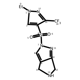 CCn1cc(S(=O)(=O)n2cc3c(n2)CNC3)c(C(F)(F)F)n1